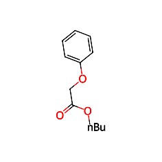 [CH2]CCCOC(=O)COc1ccccc1